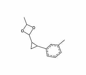 Cc1cccc(C2CC2C2OC(C)O2)c1